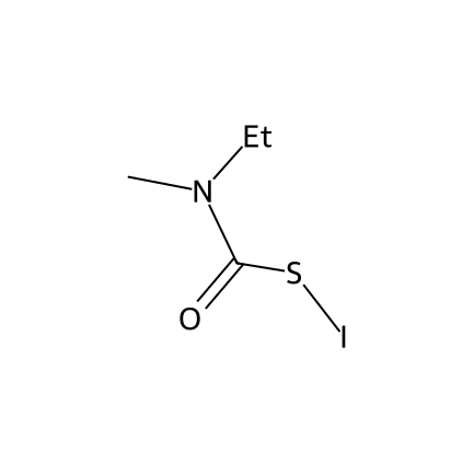 CCN(C)C(=O)SI